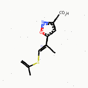 C=C(C)S/C=C(\C)c1cc(C(=O)O)no1